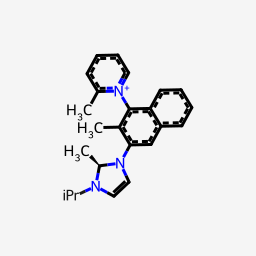 Cc1c(N2C=CN(C(C)C)[C@H]2C)cc2ccccc2c1-[n+]1ccccc1C